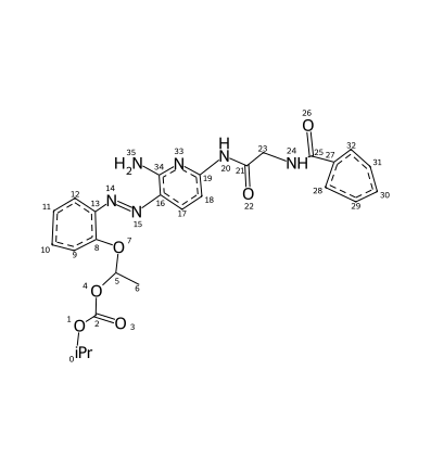 CC(C)OC(=O)OC(C)Oc1ccccc1/N=N/c1ccc(NC(=O)CNC(=O)c2ccccc2)nc1N